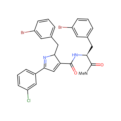 CNC(=O)[C@H](Cc1cccc(Br)c1)NC(=O)C1=CC(c2cccc(Cl)c2)=NC1Cc1cccc(Br)c1